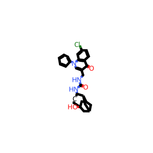 O=C(NCc1cn(-c2ccccc2)c2cc(Cl)ccc2c1=O)NC1CCC2(O)CC3CC(C2)C1C3